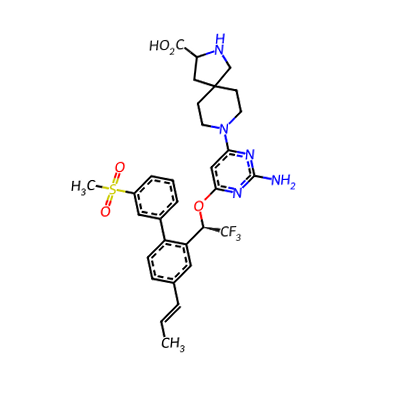 C/C=C/c1ccc(-c2cccc(S(C)(=O)=O)c2)c([C@@H](Oc2cc(N3CCC4(CC3)CNC(C(=O)O)C4)nc(N)n2)C(F)(F)F)c1